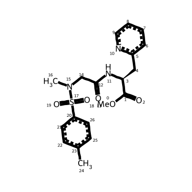 COC(=O)[C@H](Cc1ccccn1)NC(=O)CN(C)S(=O)(=O)c1ccc(C)cc1